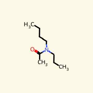 CCCCN(CCC)C(C)=O